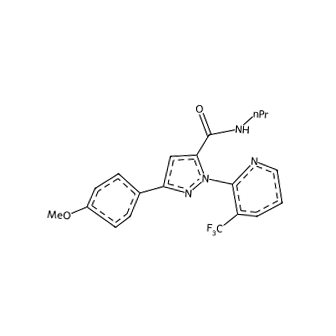 CCCNC(=O)c1cc(-c2ccc(OC)cc2)nn1-c1ncccc1C(F)(F)F